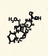 CCc1nn(-c2ccccc2)c2c1C1(CCN(C(=O)O)CC1)OC2OC